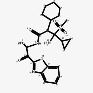 CCCC(NC(=O)C(C1CCCCC1)C(N)(C1CC1)S(C)(=O)=O)C(=O)c1nc2ccccc2o1